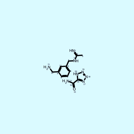 CC(=N)NCc1cccc(CN)c1.NC(=O)c1nnn[nH]1